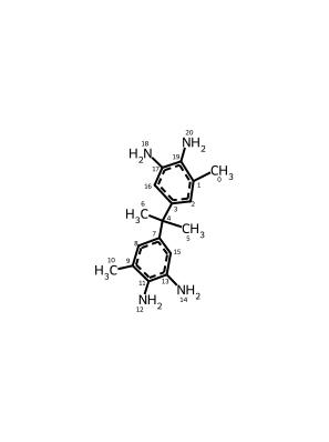 Cc1cc(C(C)(C)c2cc(C)c(N)c(N)c2)cc(N)c1N